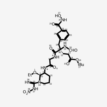 CCO[C@H]1C(NC(=O)CNC(=O)[C@@](CCC(=O)OC(C)(C)C)(Cc2cccc(C(=O)NO)c2)NC=O)CCCN1C(=N)N[N+](=O)[O-]